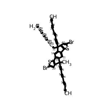 C#CC#CC#CC#CC1(C)c2cc3c(cc2-c2sc(Br)cc21)C(C#CC#CC#CC#C)(C=C=C=C=C=C=C=C)c1cc(Br)sc1-3